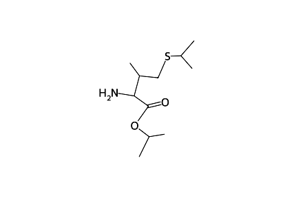 CC(C)OC(=O)C(N)C(C)CSC(C)C